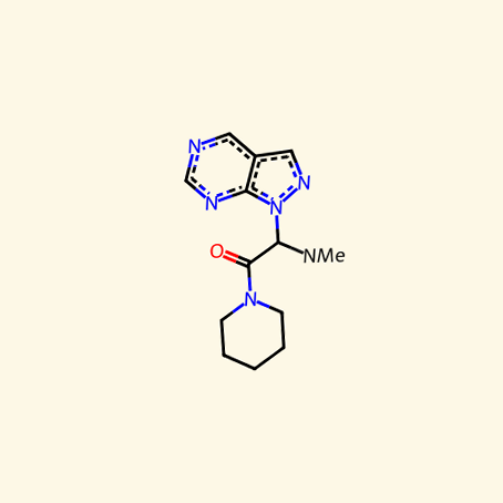 CNC(C(=O)N1CCCCC1)n1ncc2cncnc21